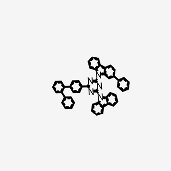 c1ccc(-c2ccc3c4ccccc4n(-c4nc(-c5ccc(-c6ccccc6-c6ccccc6)cc5)nc(-n5c6ccccc6c6ccccc65)n4)c3c2)cc1